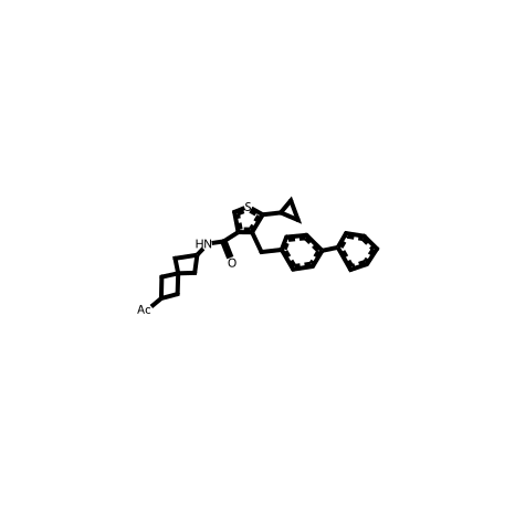 CC(=O)C1CC2(CC(NC(=O)c3csc(C4CC4)c3Cc3ccc(-c4ccccc4)cc3)C2)C1